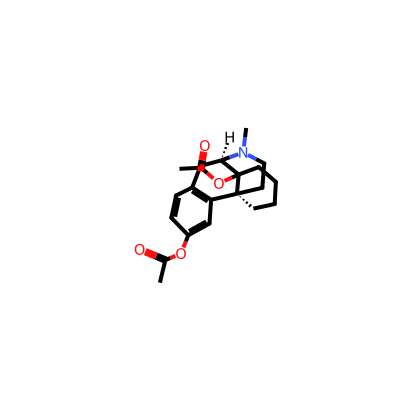 CC(=O)Oc1ccc2c(c1)[C@@]13CCCCC1(OC(C)=O)[C@@H](C2)N(C)CC3